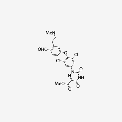 CNCCc1cc(Oc2c(Cl)cc(-n3nc(C(=O)OC)c(=O)[nH]c3=O)cc2Cl)ccc1C=O